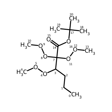 CCCC(OOC)C(OOC)(OOC)C(=O)OC(C)(C)C